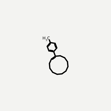 Cc1ccc(C2=CCCCCCCCCCC2)cc1